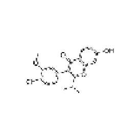 COc1cc(-c2c(C(C)C)oc3cc(O)ccc3c2=O)ccc1Cl